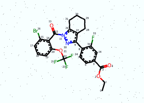 CCOC(=O)c1ccc(-c2nn(C(=O)c3c(Br)cccc3OC(F)(F)F)c3c2CCCC3)c(F)c1